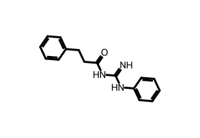 N=C(NC(=O)CCc1ccccc1)Nc1ccccc1